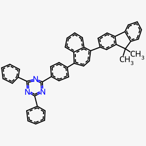 CC1(C)c2ccccc2-c2ccc(-c3ccc(-c4ccc(-c5nc(-c6ccccc6)nc(-c6ccccc6)n5)cc4)c4ccccc34)cc21